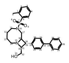 Cc1ccccc1S(=O)(=O)N1CCCCN2C(C1)[C@H](c1ccc(-c3ccccc3)cc1)[C@H]2CO